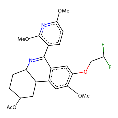 COc1ccc(C2=NC3CCC(OC(C)=O)CC3c3cc(OC)c(OCC(F)F)cc32)c(OC)n1